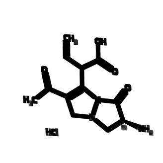 C=CC(C(=O)O)C1=C(C(C)=O)CN2C[C@H](N)C(=O)N12.Cl